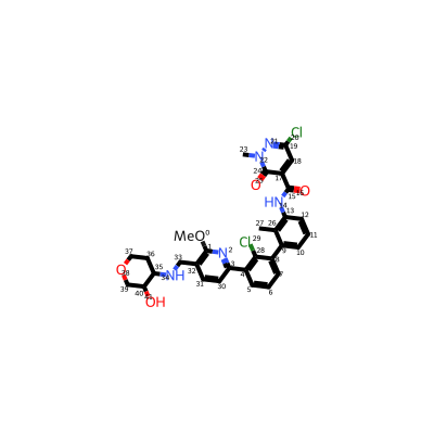 COc1nc(-c2cccc(-c3cccc(NC(=O)c4cc(Cl)nn(C)c4=O)c3C)c2Cl)ccc1CNC1CCOCC1O